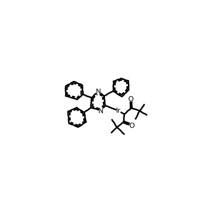 CC(C)(C)C(=O)[CH]([Ir][c]1nc(-c2ccccc2)c(-c2ccccc2)nc1-c1ccccc1)C(=O)C(C)(C)C